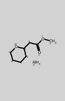 COC(=O)CC1CCCCO1.[AlH3]